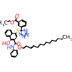 CCCCCCCCCCCCCCOc1ccccc1NC(=O)c1cc(SC2(c3cccc(C(=O)OCC)c3)N=NN=N2)c2ccccc2c1O